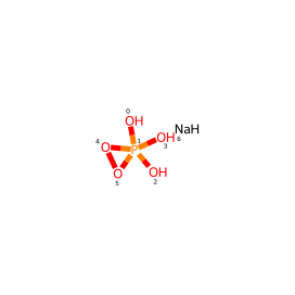 OP1(O)(O)OO1.[NaH]